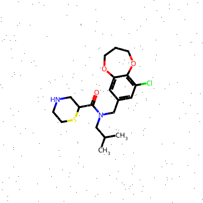 CC(C)CN(Cc1cc(Cl)c2c(c1)OCCCO2)C(=O)C1CNCCS1